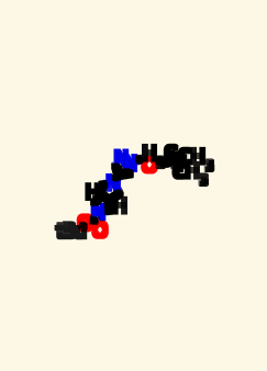 CC(C)(C)OC(=O)N1C[C@@H]2CN(c3cnn(COCC[Si](C)(C)C)c3)C[C@@H]2C1